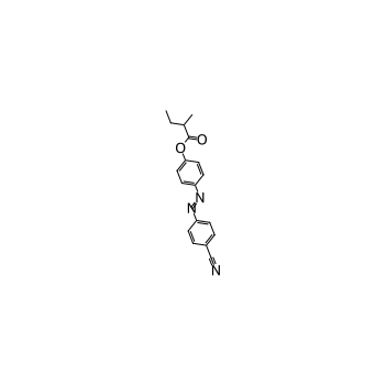 CCC(C)C(=O)Oc1ccc(N=Nc2ccc(C#N)cc2)cc1